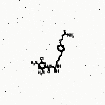 C=C(N)CCSc1ccc(CCCCNC(=N)NC(=O)c2nc(Cl)c(N)nc2N)cc1